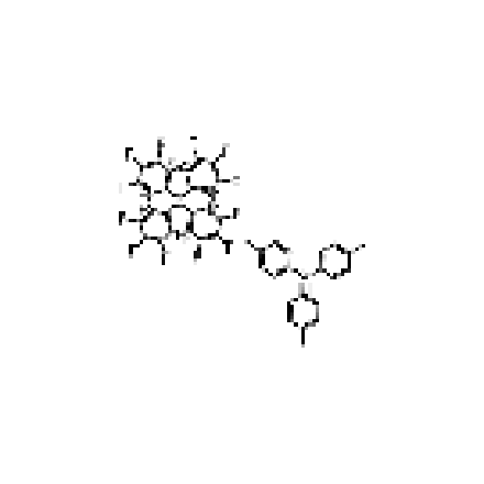 Cc1ccc([PH+](c2ccc(C)cc2)c2ccc(C)cc2)cc1.Fc1c(F)c(F)c([B-](c2c(F)c(F)c(F)c(F)c2F)(c2c(F)c(F)c(F)c(F)c2F)c2c(F)c(F)c(F)c(F)c2F)c(F)c1F